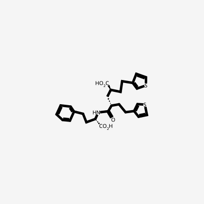 O=C(O)[C@@H](CCc1ccsc1)C[C@H](CCc1ccsc1)C(=O)N[C@@H](CCc1ccccc1)C(=O)O